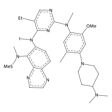 CCc1cnc(N(C)c2cc(C)c(N3CCC(N(C)C)CC3)cc2OC)nc1N(I)c1ccc2nccnc2c1N(C)SC